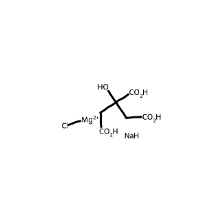 O=C(O)CC(O)(CC(=O)O)C(=O)O.[Mg+2][Cl].[NaH]